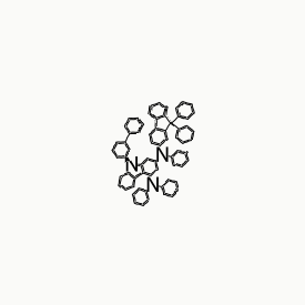 c1ccc(-c2cccc(-n3c4ccccc4c4c(N(c5ccccc5)c5ccccc5)cc(N(c5ccccc5)c5ccc6c(c5)C(c5ccccc5)(c5ccccc5)c5ccccc5-6)cc43)c2)cc1